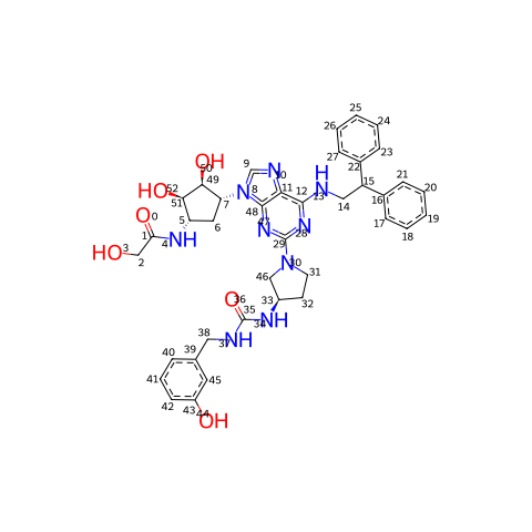 O=C(CO)N[C@H]1C[C@@H](n2cnc3c(NCC(c4ccccc4)c4ccccc4)nc(N4CC[C@@H](NC(=O)NCc5cccc(O)c5)C4)nc32)[C@H](O)[C@@H]1O